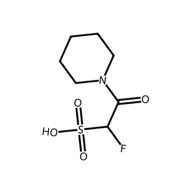 O=C(C(F)S(=O)(=O)O)N1CCCCC1